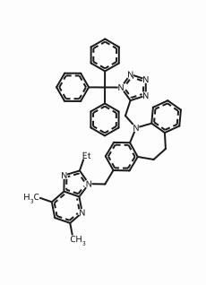 CCc1nc2c(C)cc(C)nc2n1Cc1ccc2c(c1)CCc1ccccc1N2Cc1nnnn1C(c1ccccc1)(c1ccccc1)c1ccccc1